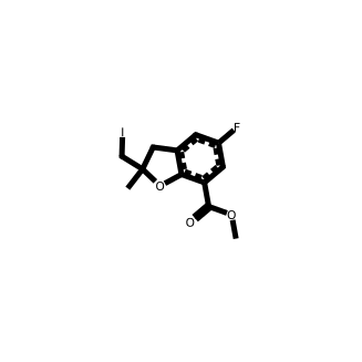 COC(=O)c1cc(F)cc2c1OC(C)(CI)C2